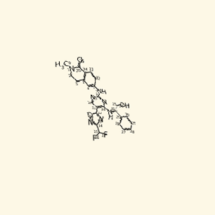 CN1CCc2cc(Nc3ncc(-c4nc(C(F)F)no4)c(N[C@H](CO)c4ccccc4)n3)ccc2C1=O